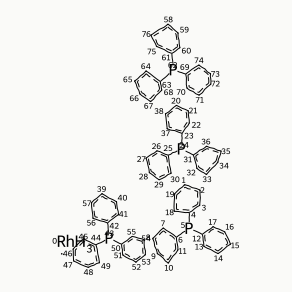 [RhH3].c1ccc(P(c2ccccc2)c2ccccc2)cc1.c1ccc(P(c2ccccc2)c2ccccc2)cc1.c1ccc(P(c2ccccc2)c2ccccc2)cc1.c1ccc(P(c2ccccc2)c2ccccc2)cc1